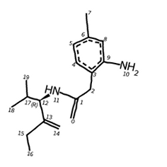 C=C(Cc1ccc(C)cc1N)N[C@@H](C(=C)CC)C(C)C